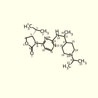 CC(C)[C@H]1COC(=O)N1c1ccnc(N[C@@H](C)C2CCN(C(C)C)CC2)n1